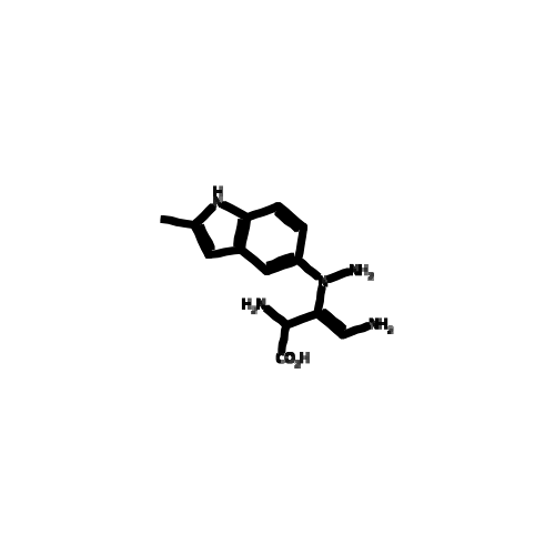 Cc1cc2cc(N(N)/C(=C\N)C(N)C(=O)O)ccc2[nH]1